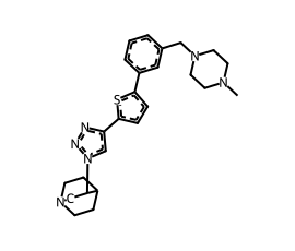 CN1CCN(Cc2cccc(-c3ccc(-c4cn(C5CN6CCC5CC6)nn4)s3)c2)CC1